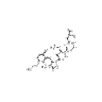 CCCc1ccc(=O)n(Cc2c(-c3ccc(N4CCO[C@H](CC(=O)O)C4)c(CC)n3)nnn2C)c1